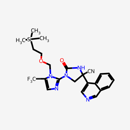 C[Si](C)(C)CCOCn1c(C(F)(F)F)cnc1N1CC(C#N)(c2cncc3ccccc23)NC1=O